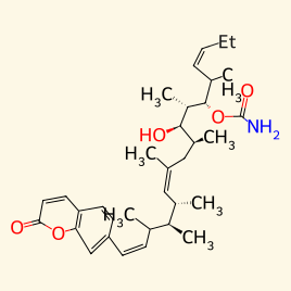 CC/C=C\C(C)[C@H](OC(N)=O)[C@@H](C)[C@H](O)[C@@H](C)C/C(C)=C\[C@H](C)[C@@H](C)C(C)/C=C\c1ccc2ccc(=O)oc2c1